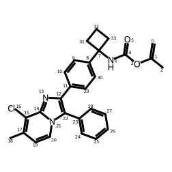 C=C(C)OC(=O)NC1(c2ccc(-c3nc4c(Cl)c(C)ccn4c3-c3ccccc3)cc2)CCC1